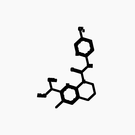 COC(OC)c1nc2c(cc1C)CCCN2C(=O)Nc1ccc(C(F)(F)F)cn1